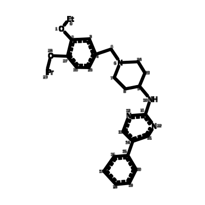 CCOc1cc(CN2CCC(Nc3ncc(-c4ccccc4)cn3)CC2)ccc1OC(C)C